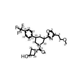 COCCc1coc(C2CC(c3ccc(C(F)(F)F)cc3)CN(C(=O)N3CC(O)C3)C2)n1